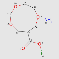 N.O=C(OF)C1COCCOCOC1